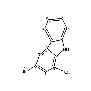 CC(C)(C)c1cc(Cl)c2[nH]c3ccccc3c2c1